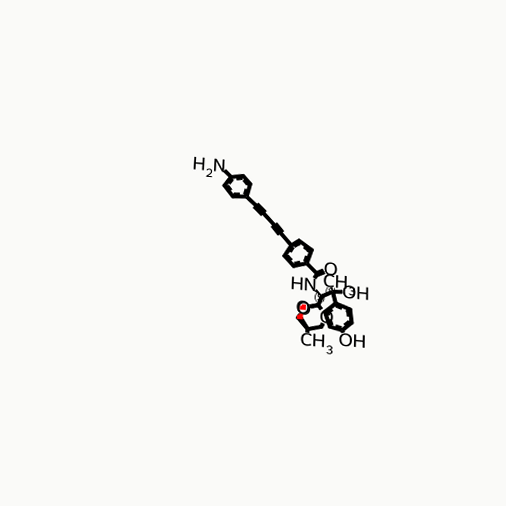 CC12COC([C@@H](NC(=O)c3ccc(C#CC#Cc4ccc(N)cc4)cc3)[C@@](C)(O)c3ccc(O)cc3)(OC1)OC2